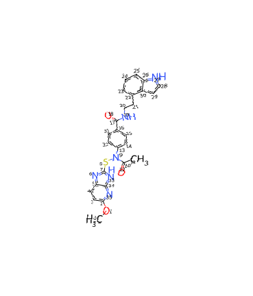 COc1ccc2nc(SN(C(C)=O)c3ccc(C(=O)NCCc4cccc5[nH]ccc45)cc3)[nH]c2n1